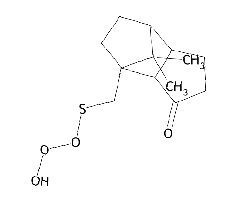 CC1(C)C2CCC1(CSOOO)C1C(=O)CCC21